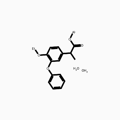 CCOc1ccc(C(C)C(=O)[O][Al])cc1Oc1ccccc1.O.O